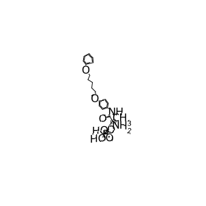 C[C@](N)(COP(=O)(O)O)C(=O)Nc1ccc(OCCCCCOc2ccccc2)cc1